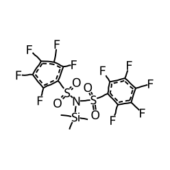 C[Si](C)(C)N(S(=O)(=O)c1c(F)c(F)c(F)c(F)c1F)S(=O)(=O)c1c(F)c(F)c(F)c(F)c1F